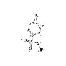 CC(C)SS(=O)(=O)c1ccc(Cl)cc1